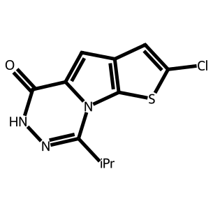 CC(C)c1n[nH]c(=O)c2cc3cc(Cl)sc3n12